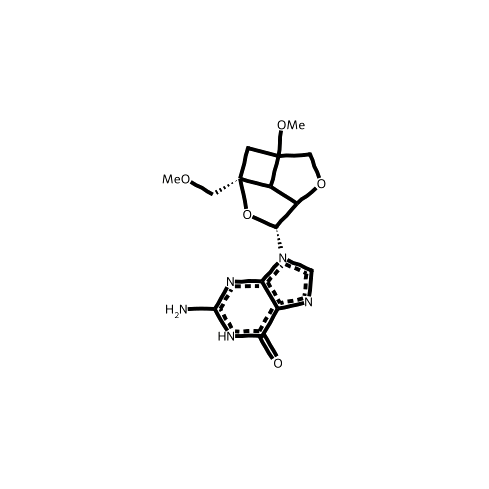 COC[C@]12CC3(OC)COC(C31)[C@H](n1cnc3c(=O)[nH]c(N)nc31)O2